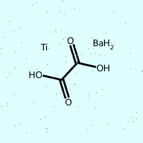 O=C(O)C(=O)O.[BaH2].[Ti]